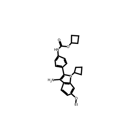 CCOc1ccc2c(N)c(-c3ccc(NC(=O)OC4CCC4)cc3)n(C3CCC3)c2c1